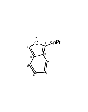 CCCc1occ2ccccc12